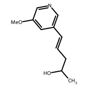 COc1cncc(C=CCC(C)O)c1